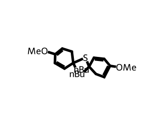 CCCCC1(SC2(CCCC)C=CC(OC)=CC2)C=CC(OC)=CC1